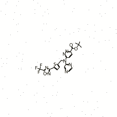 CC(C)(C)OC(=O)c1ccc(N(Cc2ccc(-c3noc(C(F)(F)F)n3)s2)c2cnccn2)nn1